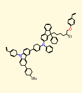 C=CC1=CCC(n2c3c(c4cc(C5=CC=C(N(c6ccccc6)c6ccc7c(c6)C(CCCCC(CC)COc6ccc(C=C)cc6)(C6=CCCC=C6)c6ccccc6-7)CC5)ccc42)=CC(C2=CCC(C(C)(C)C)CC2)CC=3)C=C1